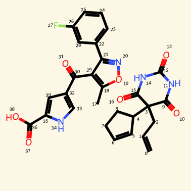 C=CCC1(C2C=CCC2)C(=O)NC(=O)NC1=O.Cc1onc(-c2cccc(F)c2)c1C(=O)c1c[nH]c(C(=O)O)c1